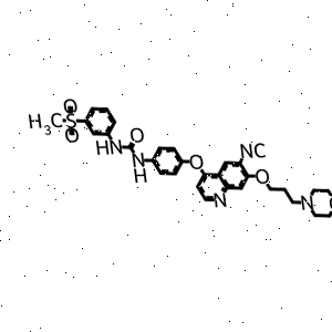 [C-]#[N+]c1cc2c(Oc3ccc(NC(=O)Nc4cccc(S(C)(=O)=O)c4)cc3)ccnc2cc1OCCCN1CCOCC1